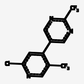 FC(F)(F)c1ncc(-c2cc(Cl)ncc2C(F)(F)F)cn1